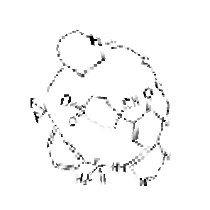 C[C@H]1Nc2ncnc3c2cc(C2(C#N)CCS(=O)(=O)CC2)c(=O)n3CCCCCCN2CCC(CC2)CC(F)(F)c2cccc1c2